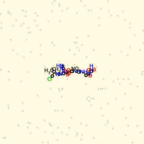 CC1(C)CCC(CN2CCN(c3ccc(C(=O)NS(=O)(=O)c4ccc(NCC5CCC(NCCc6cccc7c6CN(C6CCC(=O)NC6=O)C7=O)CC5)c([N+](=O)[O-])c4)c(Oc4cnc5[nH]ccc5c4)c3)CC2)=C(c2ccc(Cl)cc2)C1